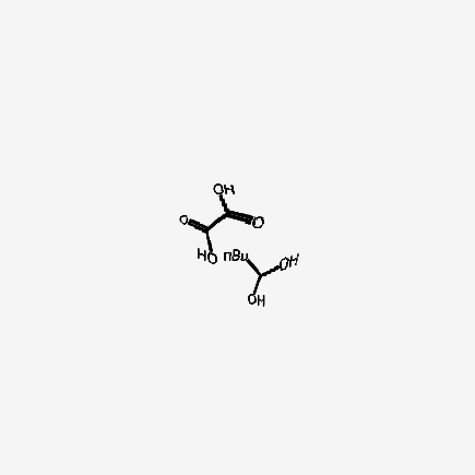 CCCCC(O)O.O=C(O)C(=O)O